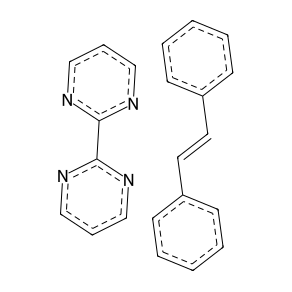 C(=Cc1ccccc1)c1ccccc1.c1cnc(-c2ncccn2)nc1